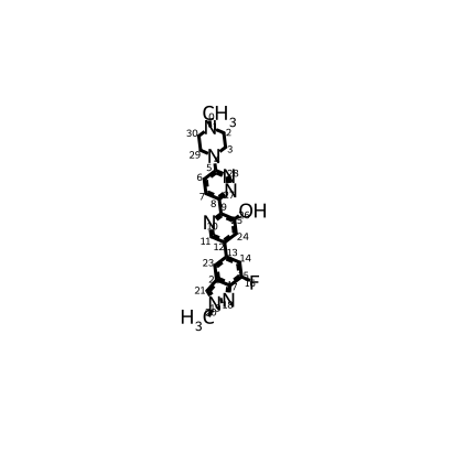 CN1CCN(c2ccc(-c3ncc(-c4cc(F)c5nn(C)cc5c4)cc3O)nn2)CC1